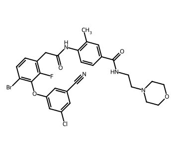 Cc1cc(C(=O)NCCN2CCOCC2)ccc1NC(=O)Cc1ccc(Br)c(Oc2cc(Cl)cc(C#N)c2)c1F